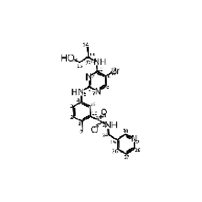 Cc1ccc(Nc2ncc(Br)c(N[C@H](C)CO)n2)cc1S(=O)(=O)NCc1cccnc1